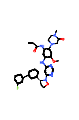 C=CC(=O)Nc1cc(Nc2cc(N3OCC[C@@H]3c3cccc(-c4cccc(F)c4)c3)ncn2)c(OC)cc1N1CCN(C)C(=O)C1